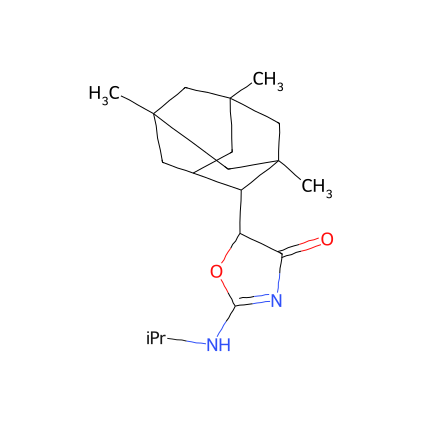 CC(C)NC1=NC(=O)C(C2C3CC4(C)CC(C)(C3)CC2(C)C4)O1